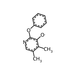 Cc1cnc(Oc2ccccc2)c([O])c1C